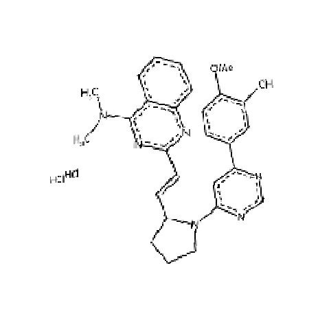 COc1ccc(-c2cc(N3CCCC3C=Cc3nc(N(C)C)c4ccccc4n3)ncn2)cc1O.Cl.Cl